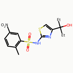 CCC(O)(CC)c1csc(NS(=O)(=O)c2cc([N+](=O)[O-])ccc2C)n1